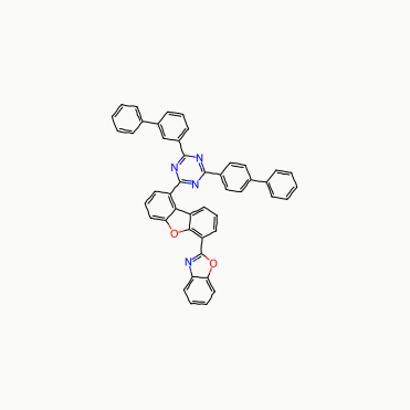 c1ccc(-c2ccc(-c3nc(-c4cccc(-c5ccccc5)c4)nc(-c4cccc5oc6c(-c7nc8ccccc8o7)cccc6c45)n3)cc2)cc1